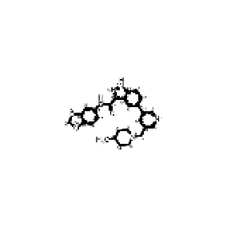 CC1CCN(Cc2cncc(-c3ccc4[nH]nc(C(=O)Nc5ccc6c(c5)OCO6)c4c3)c2)CC1